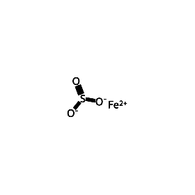 O=S([O-])[O-].[Fe+2]